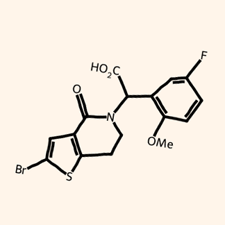 COc1ccc(F)cc1C(C(=O)O)N1CCc2sc(Br)cc2C1=O